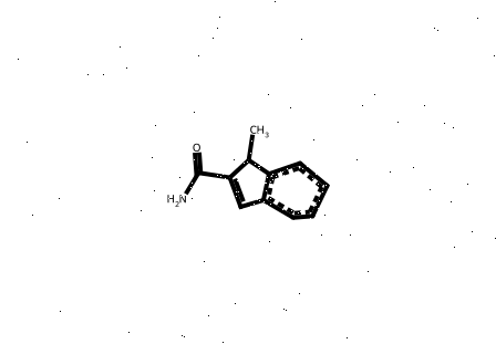 CC1C(C(N)=O)=Cc2ccccc21